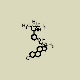 CCCC(NC(C)C)c1cccc(OCC[C@]23C=CC4=C5CCC(=O)C=C5CCC4C2CC[C@]3(C)O)c1